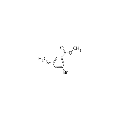 COC(=O)c1cc(Br)cc(SC)c1